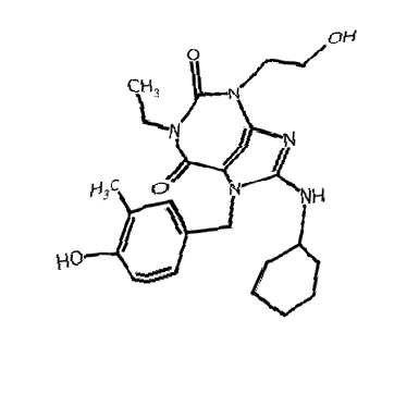 CCn1c(=O)c2c(nc(NC3CCCCC3)n2Cc2ccc(O)c(C)c2)n(CCO)c1=O